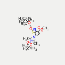 COC(=O)c1ccc(N2C[C@H](C)N(C(=O)OC(C)(C)C)[C@@H](C)C2)c2sc(OCCO[Si](C)(C)C(C)(C)C)nc12